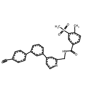 Cc1ccc(C(=O)NCc2cc(-c3cccc(-c4ccc(C#N)cc4)c3)ccn2)cc1S(C)(=O)=O